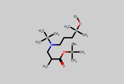 CCO[Si](C)(C)CCCN(CC(C)C(=O)O[Si](C)(C)C(C)(C)C)[Si](C)(C)C